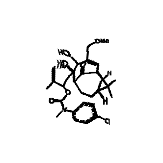 C=C(C)C(OC(=O)N(C)c1ccc(Cl)cc1)C1(O)C(O)C(COC)=CC2C(=O)C1CC[C@@H]1[C@H]2C1(C)C